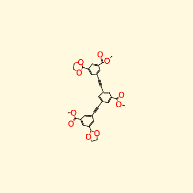 COC(=O)c1cc(C#Cc2cc(C(=O)OC)cc(C3OCCO3)c2)cc(C#Cc2cc(C(=O)OC)cc(C3OCCO3)c2)c1